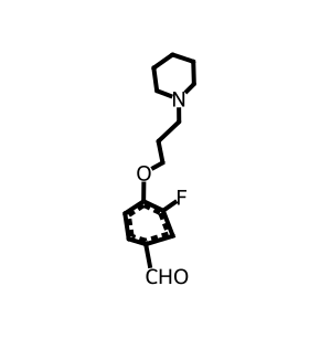 O=Cc1ccc(OCCCN2CCCCC2)c(F)c1